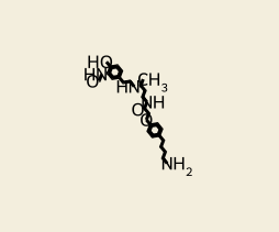 CC(CCNC(=O)COc1ccc(CCCCN)cc1)NCCc1ccc(O)c(NC=O)c1